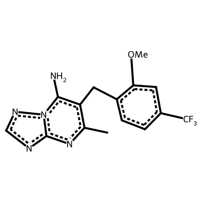 COc1cc(C(F)(F)F)ccc1Cc1c(C)nc2ncnn2c1N